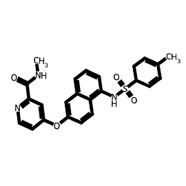 CNC(=O)c1cc(Oc2ccc3c(NS(=O)(=O)C4C=CC(C)=CC4)cccc3c2)ccn1